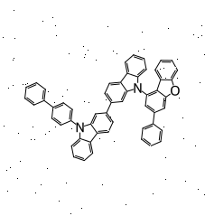 c1ccc(-c2ccc(-n3c4ccccc4c4ccc(-c5ccc6c7ccccc7n(-c7cc(-c8ccccc8)cc8oc9ccccc9c78)c6c5)cc43)cc2)cc1